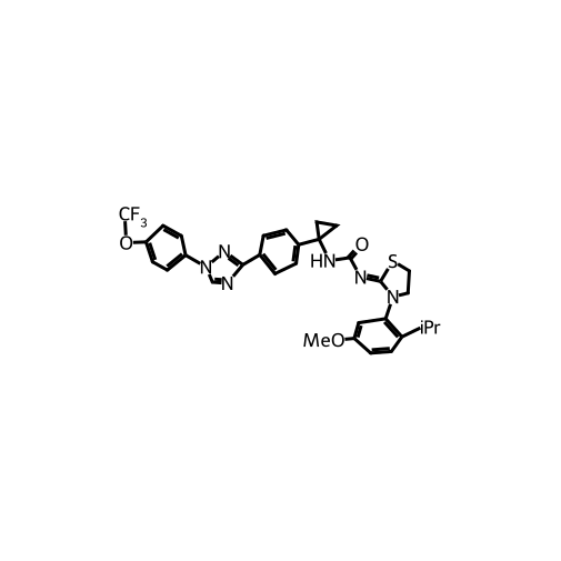 COc1ccc(C(C)C)c(N2CCS/C2=N\C(=O)NC2(c3ccc(-c4ncn(-c5ccc(OC(F)(F)F)cc5)n4)cc3)CC2)c1